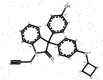 C#CCN1C(=O)C(c2ccc(O)cc2)(c2ccc(OC3CCC3)cc2)c2ccccc21